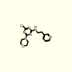 Clc1nc(NCCc2cccnc2)nc(N2CCOCC2)n1